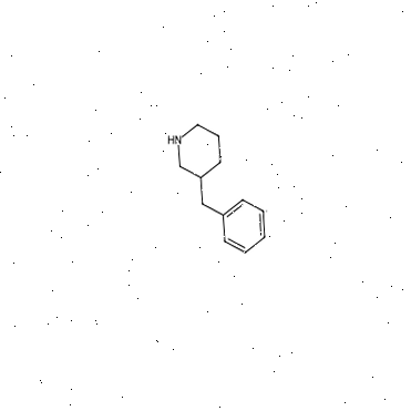 [c]1cccc(CC2CCCNC2)c1